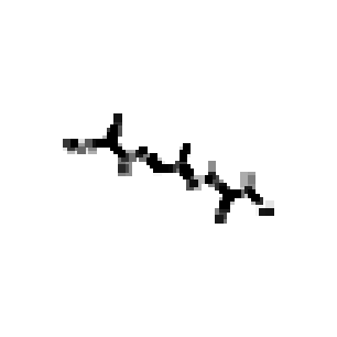 CCNC(=S)N/N=C(C)/C=N/NC(=S)NC